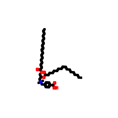 CCCCCCCCC=CCCCCCCCC(=O)OCC(C[N+](C)(C)Cc1ccc(C(=O)O)cc1)OC(=O)CCCCCCC/C=C\CCCCCCCC